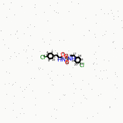 O=C(/C=C/c1ccc(Cl)cc1)NS(=O)(=O)N/C=C\c1ccc(Cl)cc1